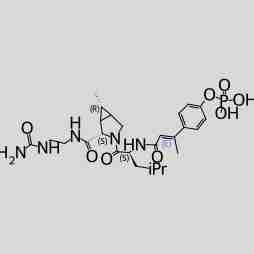 C/C(=C\C(=O)N[C@@H](CC(C)C)C(=O)N1CC2C([C@@H]2C)[C@H]1C(=O)NCCNC(N)=O)c1ccc(OP(=O)(O)O)cc1